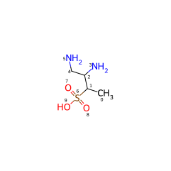 CC(C(N)CN)S(=O)(=O)O